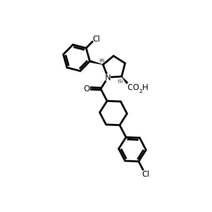 O=C(O)[C@@H]1CC[C@H](c2ccccc2Cl)N1C(=O)C1CCC(c2ccc(Cl)cc2)CC1